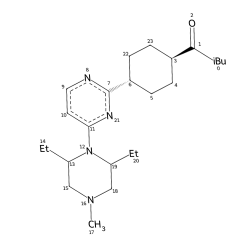 CCC(C)C(=O)[C@H]1CC[C@H](c2nccc(N3C(CC)CN(C)CC3CC)n2)CC1